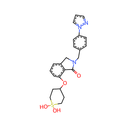 O=C1c2c(cccc2OC2CCS(O)(O)CC2)CN1Cc1ccc(-n2cccn2)cc1